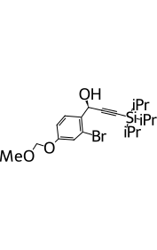 COCOc1ccc([C@@H](O)C#C[Si](C(C)C)(C(C)C)C(C)C)c(Br)c1